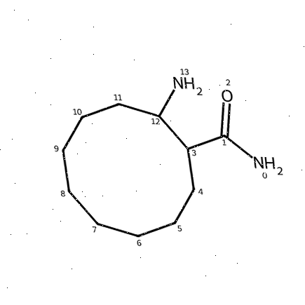 NC(=O)C1CCCCCCCCC1N